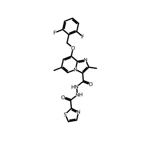 Cc1cc(OCc2c(F)cccc2F)c2nc(C)c(C(=O)NNC(=O)c3nccs3)n2c1